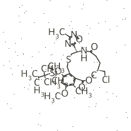 COc1cc(O[Si](C)(C)C(C)(C)C(C)C)c2c(c1C)C(=O)OC[C@H](CCl)CCC(=O)N[C@H](c1nc(C)no1)CSC2